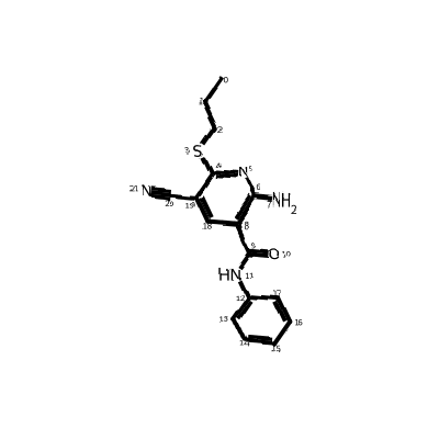 CCCSc1nc(N)c(C(=O)Nc2ccccc2)cc1C#N